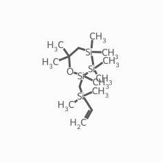 C=C[Si](C)(C)C[Si]1(C)OC(C)(C)C[Si](C)(C)[Si]1(C)C